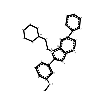 COc1cccc(-c2nc3ncc(-c4ccccc4)cc3n2CCC2CCCCC2)c1